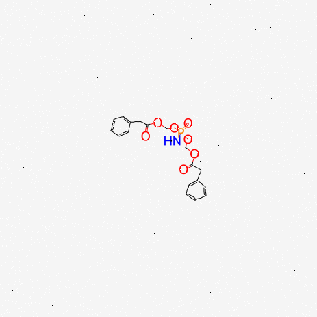 [NH]P(=O)(OCOC(=O)Cc1ccccc1)OCOC(=O)Cc1ccccc1